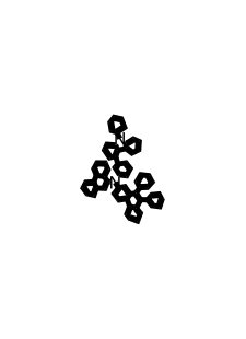 c1ccc(-c2c(-c3ccccc3)c3cc(N(c4cccc(-c5cccc6c5c5ccccc5n6-c5ccccc5)c4)c4cc5ccccc5c5ccccc45)ccc3c3ccccc23)cc1